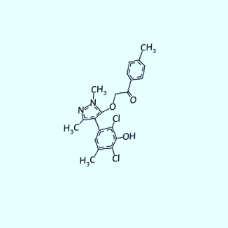 Cc1ccc(C(=O)COc2c(-c3cc(C)c(Cl)c(O)c3Cl)c(C)nn2C)cc1